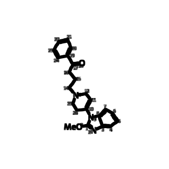 COc1nc2ccccc2n1C1=CCN(CCCC(=O)c2ccccc2)CC1